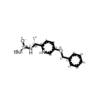 C[C@@H](N[S@+]([O-])C(C)(C)C)c1ccc(OCc2ccccc2)cn1